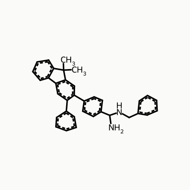 CC1(C)c2ccccc2-c2cc(-c3ccccc3)c(-c3ccc(C(N)NCc4ccccc4)cc3)cc21